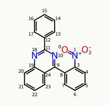 O=[N+]([O-])c1ccccc1-c1nc(-c2ccccc2)nc2ccccc12